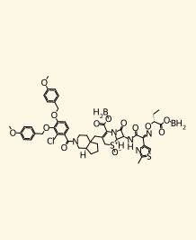 BOC(=O)C1=C(CC23CCC[C@H]2CN(C(=O)c2ccc(OCc4ccc(OC)cc4)c(OCc4ccc(OC)cc4)c2Cl)CC3)C[S+]([O-])[C@@H]2[C@H](NC(=O)/C(=N\O[C@H](CC)C(=O)OB)c3csc(C)n3)C(=O)N12